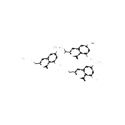 CCOc1cc(O)c2c(=O)oc(C(C)C(=O)O)cc2c1.COc1cc(O)c2c(=O)oc(CC(=O)O)cc2c1.COc1cc(O)c2c(=O)sc(CC(=O)O)cc2c1